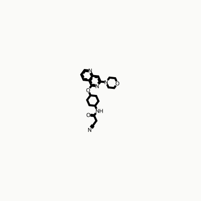 N#CCC(=O)NC1CCC(Oc2nc(N3CCOCC3)cc3ncccc23)CC1